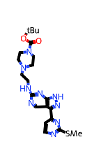 CSc1nccc(-c2n[nH]c3nc(NCCN4CCN(C(=O)OC(C)(C)C)CC4)ncc23)n1